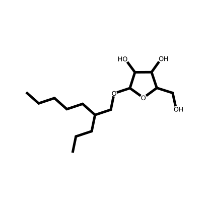 CCCCCC(CCC)COC1OC(CO)C(O)C1O